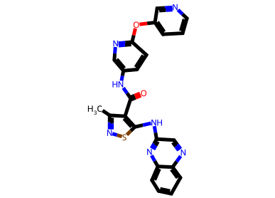 Cc1nsc(Nc2cnc3ccccc3n2)c1C(=O)Nc1ccc(Oc2cccnc2)nc1